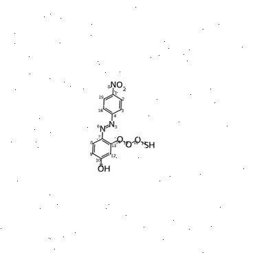 O=[N+]([O-])c1ccc(N=Nc2ccc(O)cc2OOOS)cc1